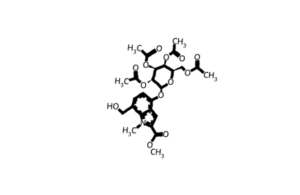 COC(=O)c1cc2c(O[C@@H]3O[C@H](COC(C)=O)[C@H](OC(C)=O)[C@H](OC(C)=O)[C@H]3OC(C)=O)ccc(CO)c2n1C